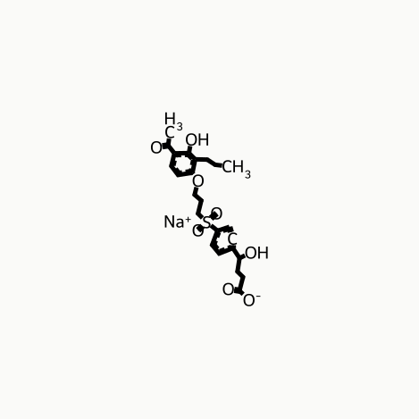 CCCc1c(OCCCS(=O)(=O)c2ccc(C(O)CCC(=O)[O-])cc2)ccc(C(C)=O)c1O.[Na+]